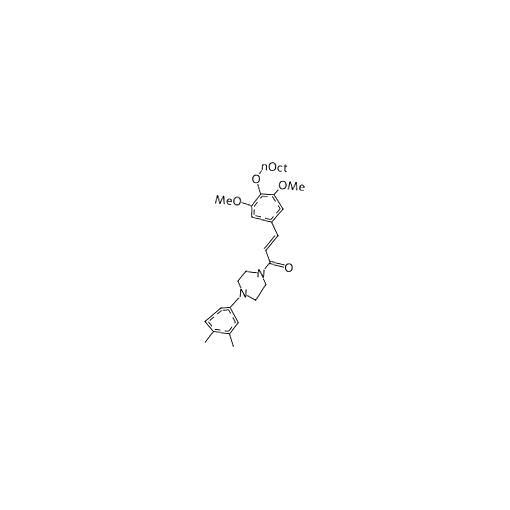 CCCCCCCCOc1c(OC)cc(C=CC(=O)N2CCN(c3ccc(C)c(C)c3)CC2)cc1OC